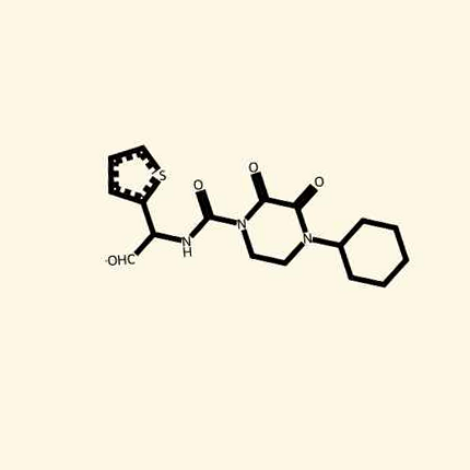 O=[C]C(NC(=O)N1CCN(C2CCCCC2)C(=O)C1=O)c1cccs1